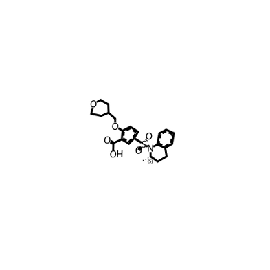 C[C@H]1CCc2ccccc2N1S(=O)(=O)c1ccc(OCC2CCOCC2)c(C(=O)O)c1